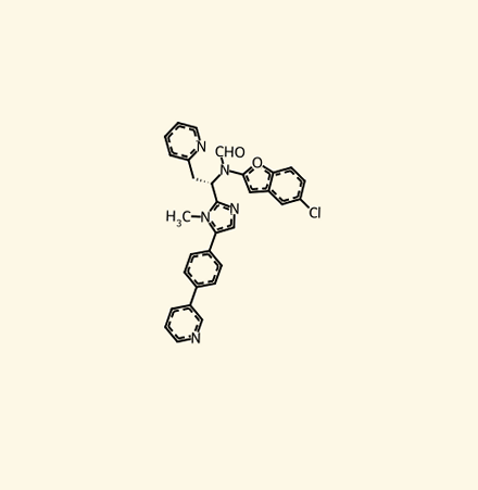 Cn1c(-c2ccc(-c3cccnc3)cc2)cnc1[C@H](Cc1ccccn1)N(C=O)c1cc2cc(Cl)ccc2o1